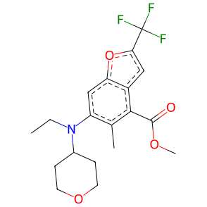 CCN(c1cc2oc(C(F)(F)F)cc2c(C(=O)OC)c1C)C1CCOCC1